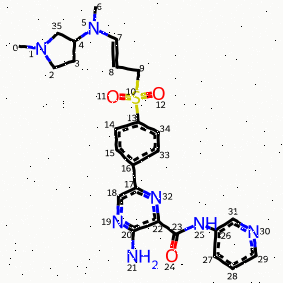 CN1CCC(N(C)C=CCS(=O)(=O)c2ccc(-c3cnc(N)c(C(=O)Nc4cccnc4)n3)cc2)C1